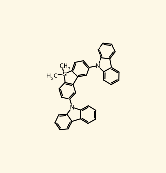 C[Si]1(C)c2ccc(-n3c4ccccc4c4ccccc43)cc2-c2cc(-n3c4ccccc4c4ccccc43)ccc21